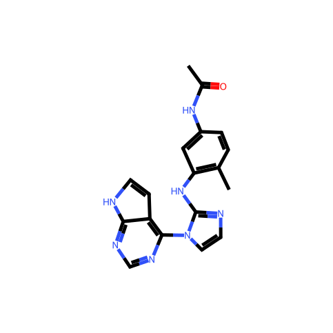 CC(=O)Nc1ccc(C)c(Nc2nccn2-c2ncnc3[nH]ccc23)c1